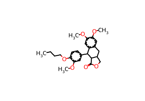 CCCCOc1ccc(C2c3cc(OC)c(OC)cc3CC3COC(=O)C32)cc1OC